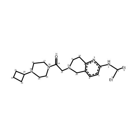 CCC(CC)Nc1ccc2c(n1)CCN(CC(=O)N1CCN(C3CCC3)CC1)C2